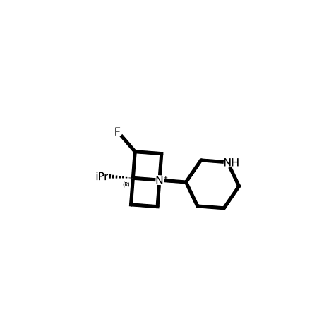 CC(C)[C@@]12CC[N+]1(C1CCCNC1)CC2F